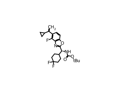 C=C(c1ccc2oc([C@@H](NC(=O)OC(C)(C)C)C3CCC(F)(F)CC3)nc2c1F)C1CC1